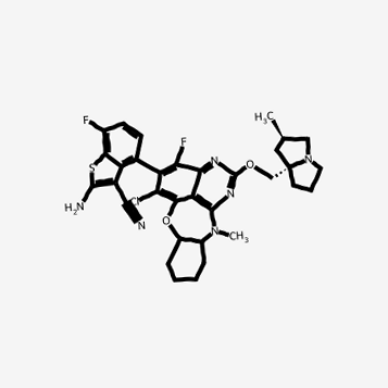 C[C@H]1CN2CCC[C@@]2(COc2nc3c4c(c(Cl)c(-c5ccc(F)c6sc(N)c(C#N)c56)c(F)c4n2)OC2CCCCC2N3C)C1